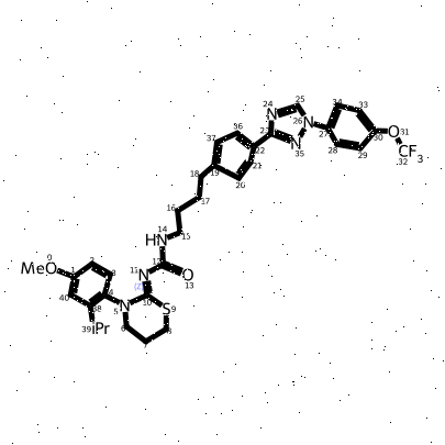 COc1ccc(N2CCCS/C2=N\C(=O)NCCCCc2ccc(-c3ncn(-c4ccc(OC(F)(F)F)cc4)n3)cc2)c(C(C)C)c1